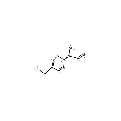 N=CN(N)[C@H]1C=CC(CC(F)(F)F)=CC1